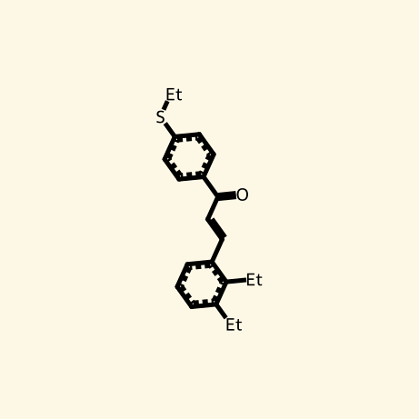 CCSc1ccc(C(=O)C=Cc2cccc(CC)c2CC)cc1